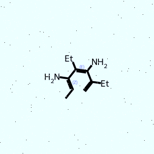 C=C(CC)/C(N)=C(CC)\C(N)=C\C